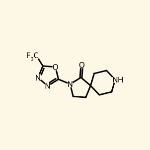 O=C1N(c2nnc(C(F)(F)F)o2)CCC12CCNCC2